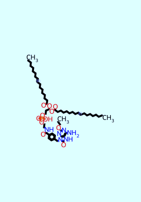 CCCCCCCC/C=C/CCCCCCCC(=O)OC(CCOP(=O)(O)OCCNC(=O)c1ccc(Cn2c(=O)[nH]c3c(N)nc(OCCC)nc32)cc1)OC(=O)CCCCCCC/C=C/CCCCCCCC